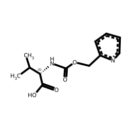 CC(C)[C@H](NC(=O)OCc1ccccn1)C(=O)O